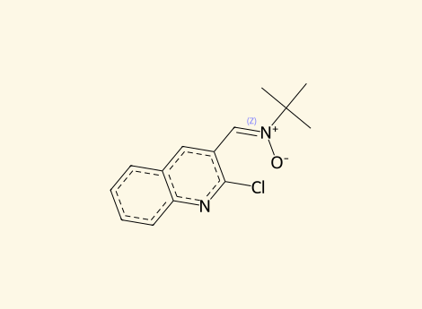 CC(C)(C)/[N+]([O-])=C/c1cc2ccccc2nc1Cl